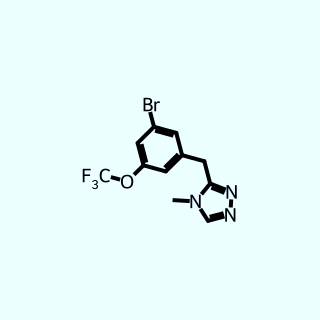 Cn1cnnc1Cc1cc(Br)cc(OC(F)(F)F)c1